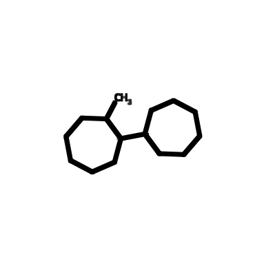 CC1CCCCC[C]1[C]1CCCCCC1